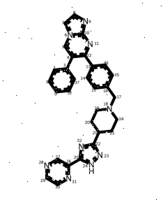 c1ccc(-c2cn3ccnc3nc2-c2ccc(CN3CCC(c4n[nH]c(-c5cnccn5)n4)CC3)cc2)cc1